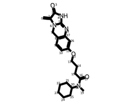 C=c1c(=O)[nH]c2n1Cc1ccc(OCCCC(=O)N(C)C3CCCCC3)cc1N=2